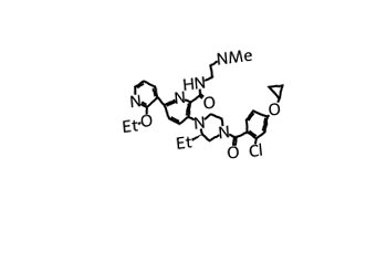 CCOc1ncccc1-c1ccc(N2CCN(C(=O)c3ccc(OC4CC4)cc3Cl)C[C@H]2CC)c(C(=O)NCCNC)n1